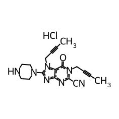 CC#CCn1c(C#N)nc2nc(N3CCNCC3)n(CC#CC)c2c1=O.Cl